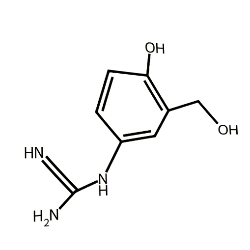 N=C(N)Nc1ccc(O)c(CO)c1